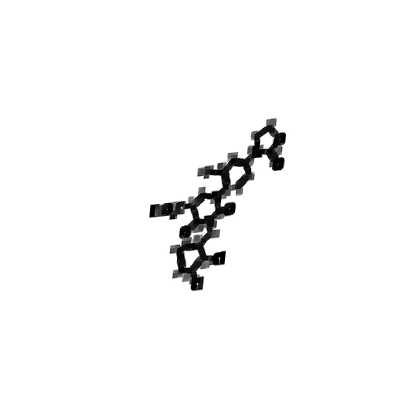 CCOC(=O)c1cn(-c2ccc(N3CCOC3=O)cc2F)c(=O)n(Cc2cccc(Cl)c2Cl)c1=O